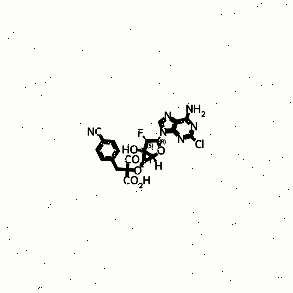 N#Cc1ccc(CC(OC2[C@H]3O[C@@H](n4cnc5c(N)nc(Cl)nc54)[C@@H](F)[C@@]23O)(C(=O)O)C(=O)O)cc1